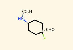 O=C[C@]1(F)CC[C@@H](NC(=O)O)CC1